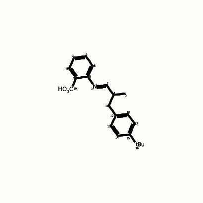 CC(/C=N/c1ccccc1C(=O)O)Cc1ccc(C(C)(C)C)cc1